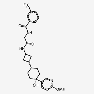 COc1ccc([C@]2(O)CC[C@H](N3CC(NC(=O)CNC(=O)c4cccc(C(F)(F)F)c4)C3)CC2)cn1